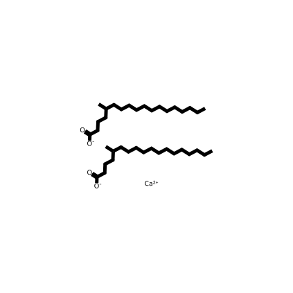 CCCCCCCCCCCCCC(C)CCCC(=O)[O-].CCCCCCCCCCCCCC(C)CCCC(=O)[O-].[Ca+2]